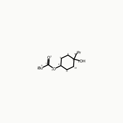 CCC(C)C(=O)OC1CCC(O)(C(C)C)CC1